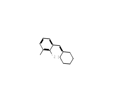 Cc1cccc(C=C2CCCCC2)c1N